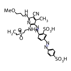 C=CS(=O)(=O)CCNc1nc(NCCCOC)c(C#N)c(C)c1/N=N/c1ccc(/N=N/c2ccc(S(=O)(=O)O)cc2)cc1S(=O)(=O)O